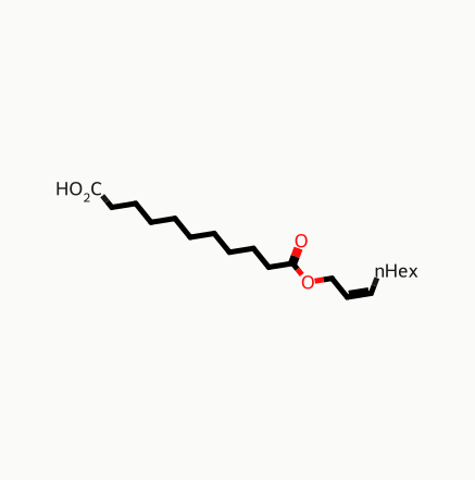 CCCCCC/C=C\COC(=O)CCCCCCCCCC(=O)O